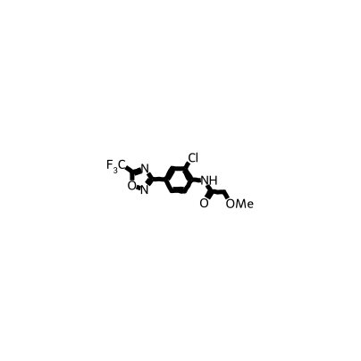 COCC(=O)Nc1ccc(-c2noc(C(F)(F)F)n2)cc1Cl